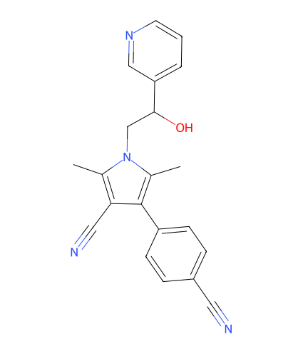 Cc1c(C#N)c(-c2ccc(C#N)cc2)c(C)n1CC(O)c1cccnc1